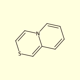 C1=CC2=CSC=CN2C=C1